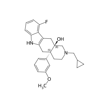 COc1cccc([C@@]23CCN(CC4CC4)C[C@@]2(O)Cc2c([nH]c4cccc(F)c24)C3)c1